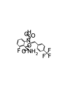 NS(=O)(=O)c1c(F)cccc1N(C=Cc1ccc(C(F)(F)F)cc1)[SH](=O)=O